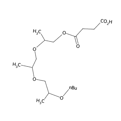 CCCCOC(C)COC(C)COC(C)COC(=O)CCC(=O)O